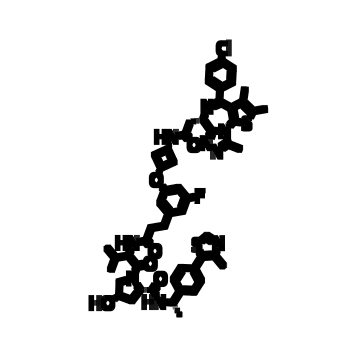 Cc1ncsc1-c1ccc([C@H](C)NC(=O)[C@@H]2C[C@@H](O)CN2C(=O)C(NC(=O)CCc2cc(F)cc(O[C@H]3C[C@H](NC(=O)C[C@@H]4N=C(c5ccc(Cl)cc5)c5c(sc(C)c5C)-n5c(C)nnc54)C3)c2)C(C)C)cc1